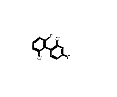 Fc1ccc(-c2c(F)[c]ccc2Cl)c(Cl)c1